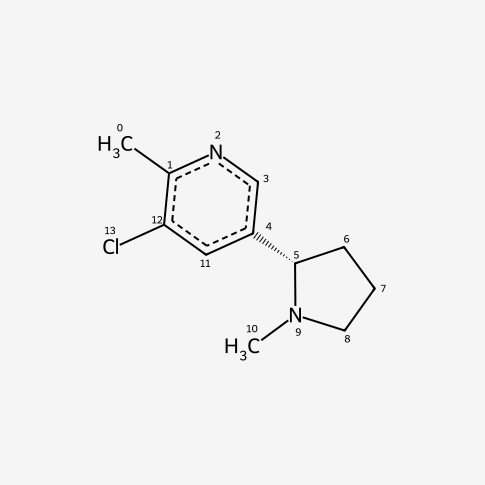 Cc1ncc([C@@H]2CCCN2C)cc1Cl